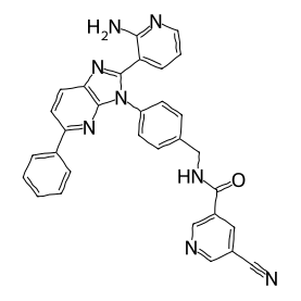 N#Cc1cncc(C(=O)NCc2ccc(-n3c(-c4cccnc4N)nc4ccc(-c5ccccc5)nc43)cc2)c1